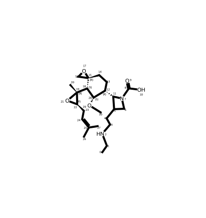 CCNCCC1CN(C(=O)O)C1[C@H]1CC[C@]2(CO2)[C@@H]([C@@]2(C)O[C@@H]2CC=C(C)C)[C@H]1OC